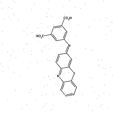 O=C(O)c1cc(/N=c2\ccc3nc4ccccc4sc-3c2)cc(C(=O)O)c1